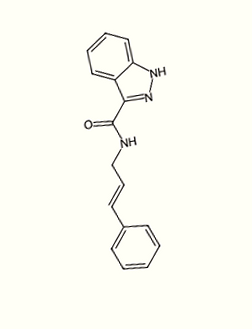 O=C(NCC=Cc1ccccc1)c1n[nH]c2ccccc12